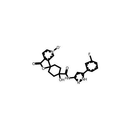 O=C1OC2(CCC(O)(C(=O)Nc3cc(-c4cccc(F)c4)[nH]n3)CC2)c2c[n+]([O-])ccc21